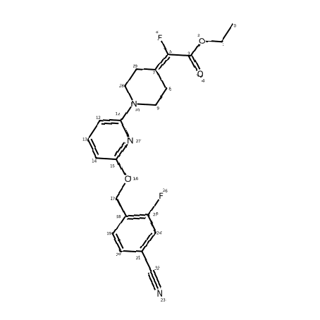 CCOC(=O)C(F)=C1CCN(c2cccc(OCc3ccc(C#N)cc3F)n2)CC1